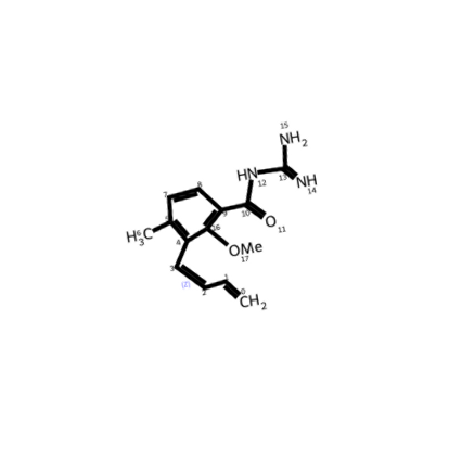 C=C/C=C\c1c(C)ccc(C(=O)NC(=N)N)c1OC